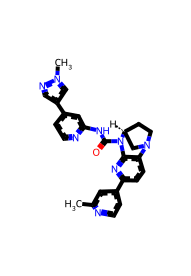 Cc1cc(-c2ccc3c(n2)N(C(=O)Nc2cc(-c4cnn(C)c4)ccn2)[C@H]2CCN3C2)ccn1